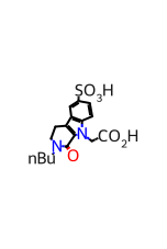 CCCCN1CCc2c(n(CC(=O)O)c3ccc(S(=O)(=O)O)cc23)C1=O